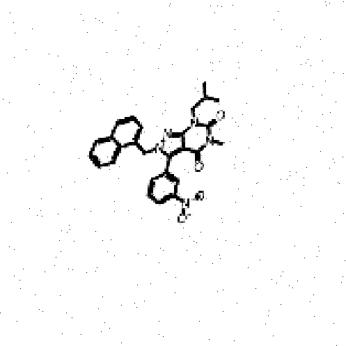 CC(C)Cn1c(=O)n(C)c(=O)c2c(-c3cccc([N+](=O)[O-])c3)n(Cc3cccc4ccccc34)nc21